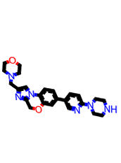 c1cc(N2CCNCC2)ncc1-c1ccc2c(c1)OCc1nc(CN3CCOCC3)cn1-2